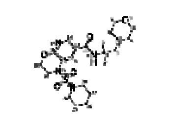 CC(C)(CN1CCOCC1)NC(=O)c1cnc2c(c1)N(S(=O)(=O)N1CCCCC1)CCO2